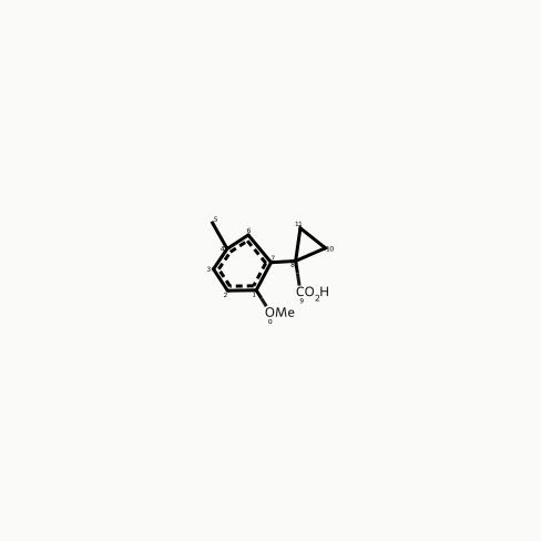 COc1ccc(C)cc1C1(C(=O)O)CC1